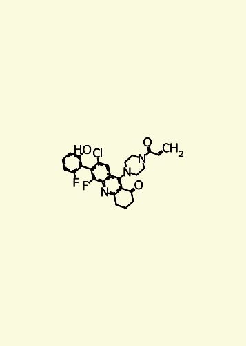 C=CC(=O)N1CCN(c2c3c(nc4c(F)c(-c5c(O)cccc5F)c(Cl)cc24)CCCC3=O)CC1